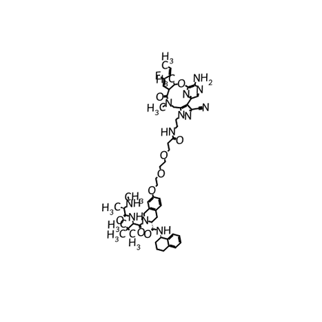 C/C=C\C(F)=C/C1C(=O)N(C)Cc2c(c(C#N)nn2CCNC(=O)CCOCCOCCOc2ccc3c(c2)CN(C(=O)[C@H](NC(=O)[C@@H](C)NC)C(C)(C)C)[C@@H](C(=O)N[C@H]2CCCc4ccccc42)C3)-c2cnc(N)c(n2)O[C@@H]1C